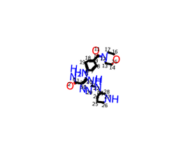 NC(=O)C1=C(Nc2ccc(C(=O)N3CCOCC3)cc2)NC(N[C@@H]2CCCNC2)N=N1